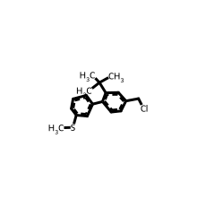 CSc1cccc(-c2ccc(CCl)cc2C(C)(C)C)c1